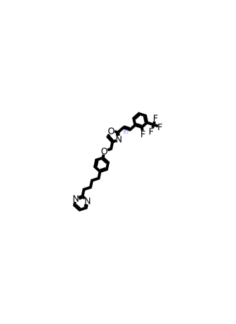 Fc1c(/C=C/c2nc(COc3ccc(CCCCc4ncccn4)cc3)co2)cccc1C(F)(F)F